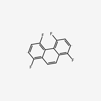 Fc1[c]cc(F)c2c1ccc1c(F)[c]cc(F)c12